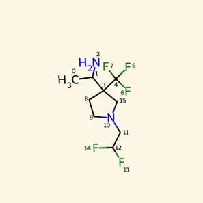 CC(N)C1(C(F)(F)F)CCN(CC(F)F)C1